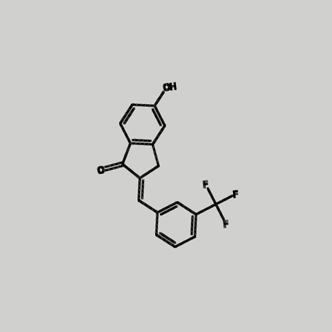 O=C1/C(=C/c2cccc(C(F)(F)F)c2)Cc2cc(O)ccc21